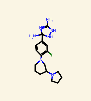 NC1=NC(N)(c2ccc(N3CCCC(N4CCCC4)C3)c(F)c2)NN1